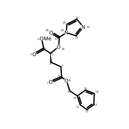 COC(=O)[C@H](CCC(=O)OCc1ccccc1)OC(=O)n1ccnc1